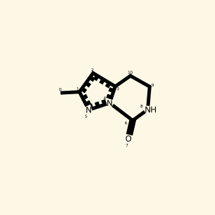 Cc1cc2n(n1)C(=O)NCC2